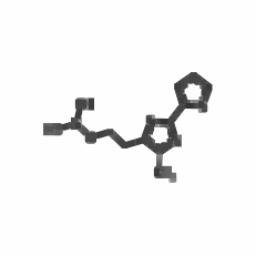 Cc1nc(-c2cccs2)sc1CCON(O)O